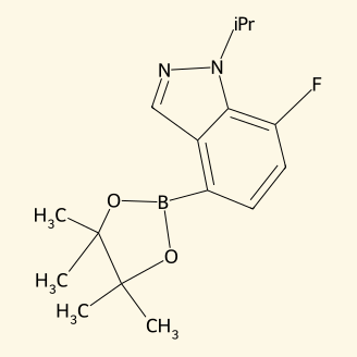 CC(C)n1ncc2c(B3OC(C)(C)C(C)(C)O3)ccc(F)c21